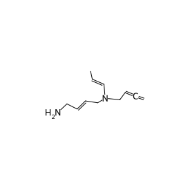 C=C=CCN(C=CC)CC=CCN